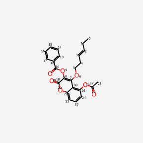 CCC=CCCOc1c(OC(=O)c2ccccc2)c(=O)oc2cccc(OC(C)=O)c12